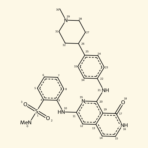 CNS(=O)(=O)c1ccccc1Nc1cc2cc[nH]c(=O)c2c(Nc2ccc(C3CCN(C)CC3)cc2)n1